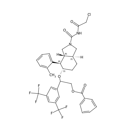 Cc1ccccc1[C@H]1[C@@H]2CN(C(=O)NC(=O)CCl)C[C@H]2CC[C@@H]1OC(COC(=O)c1ccccc1)c1cc(C(F)(F)F)cc(C(F)(F)F)c1